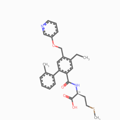 CCc1cc(C(=O)N[C@@H](CCSC)C(=O)O)c(-c2ccccc2C)cc1COc1cccnc1